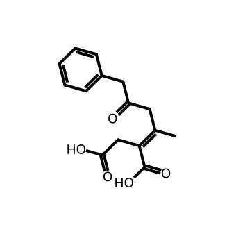 CC(CC(=O)Cc1ccccc1)=C(CC(=O)O)C(=O)O